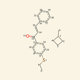 CC1CCC1.CCSc1ccc(C(=O)C=Cc2ccccc2)cc1